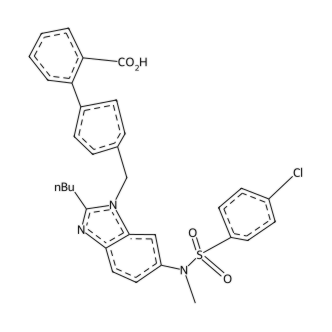 CCCCc1nc2ccc(N(C)S(=O)(=O)c3ccc(Cl)cc3)cc2n1Cc1ccc(-c2ccccc2C(=O)O)cc1